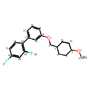 CCCOC1CCC(COc2[c]ccc(-c3ccc(F)cc3F)c2)CC1